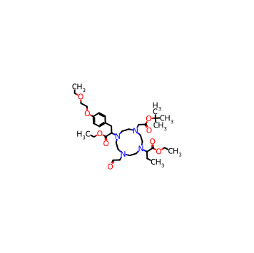 CCOCCOc1ccc(CC(C(=O)OCC)N2CCN(CC=O)CCN(C(CC)C(=O)OCC)CCN(CC(=O)OC(C)(C)C)CC2)cc1